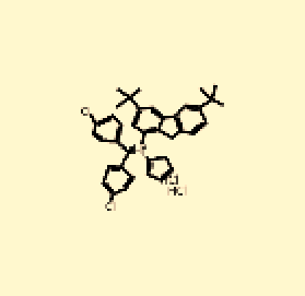 CC(C)(C)c1ccc2c(c1)-c1cc(C(C)(C)C)c[c]([Hf]([C]3=CC=CC3)=[C](c3ccc(Cl)cc3)c3ccc(Cl)cc3)c1C2.Cl.Cl